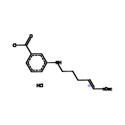 CCCCCCCCCC/C=C/CCCNc1cccc(C(=O)Cl)c1.Cl